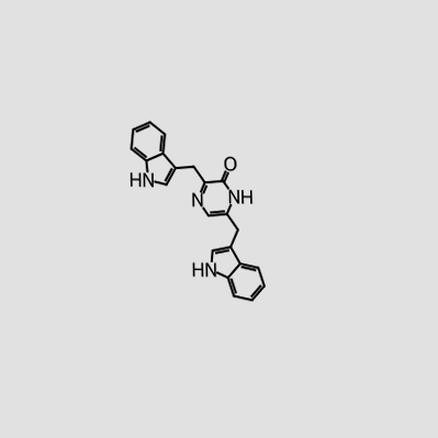 O=c1[nH]c(Cc2c[nH]c3ccccc23)cnc1Cc1c[nH]c2ccccc12